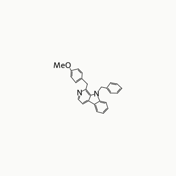 COc1ccc(Cc2nccc3c4ccccc4n(Cc4ccccc4)c23)cc1